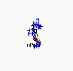 CCCN(CC)c1cc(O[C@H]2CCN(CC(=O)Nc3cccc4c(-c5nc(Nc6cc(C)n(C)n6)ncc5C)c[nH]c34)C2)ncn1